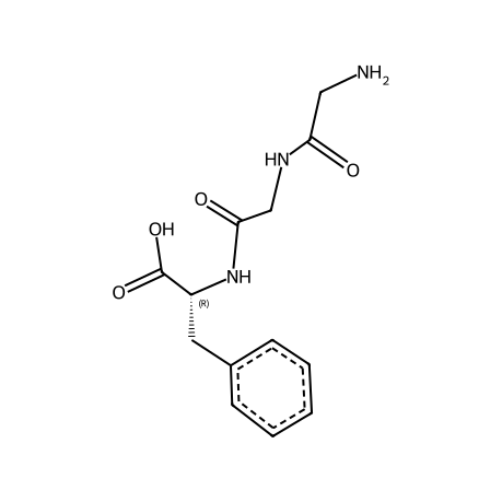 NCC(=O)NCC(=O)N[C@H](Cc1ccccc1)C(=O)O